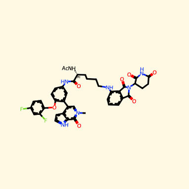 CC(=O)N[C@H](CCCCNc1cccc2c1C(=O)N(C1CCC(=O)NC1=O)C2=O)C(=O)Nc1ccc(Oc2ccc(F)cc2F)c(-c2cn(C)c(=O)c3[nH]ccc23)c1